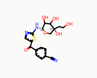 N#Cc1ccc(C(=O)c2cnc(N[C@H]3OC[C@@](O)(CCO)C(O)C3O)s2)cc1